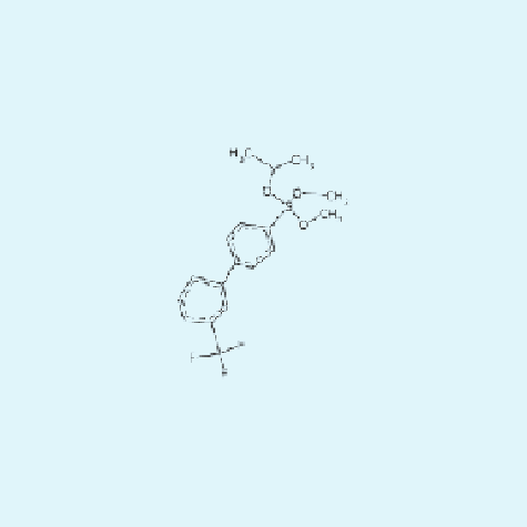 CO[Si](OC)(OC(C)C)c1ccc(-c2cccc(C(F)(F)F)c2)cc1